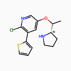 CC(Oc1cnc(Cl)c(-c2cccs2)c1)[C@@H]1CCCN1